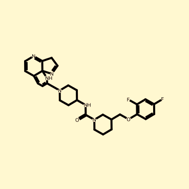 O=C(NC1CCN(C2=CC=C3C=CN=C4CC=NC34N2)CC1)N1CCCC(COc2ccc(F)cc2F)C1